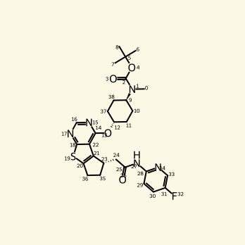 CN(C(=O)OC(C)(C)C)[C@H]1CC[C@H](Oc2ncnc3sc4c(c23)[C@H](CC(=O)Nc2ccc(F)cn2)CC4)CC1